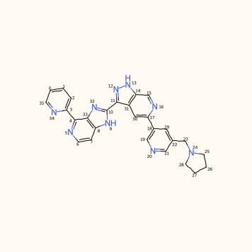 c1ccc(-c2nccc3[nH]c(-c4n[nH]c5cnc(-c6cncc(CN7CCCC7)c6)cc45)nc23)nc1